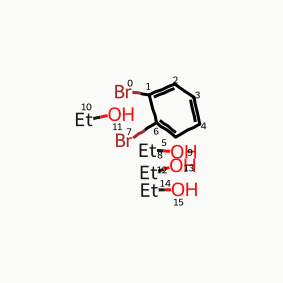 Brc1ccccc1Br.CCO.CCO.CCO.CCO